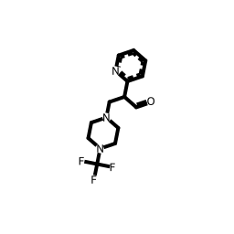 O=CC(CN1CCN(C(F)(F)F)CC1)c1ccccn1